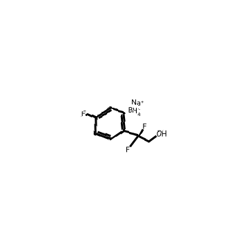 OCC(F)(F)c1ccc(F)cc1.[BH4-].[Na+]